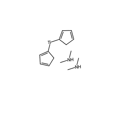 C1=CC[C]([Ti][C]2=CC=CC2)=C1.CNC.CNC